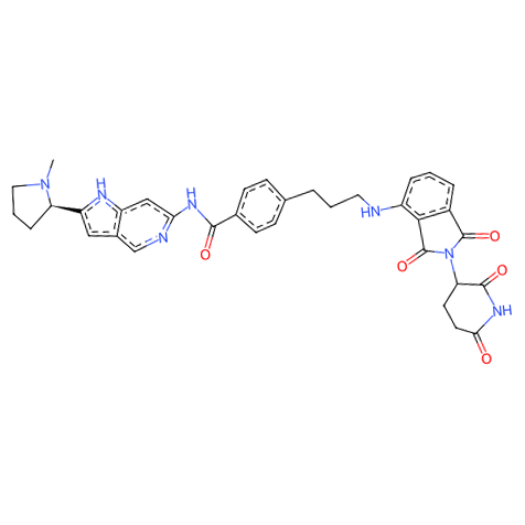 CN1CCC[C@@H]1c1cc2cnc(NC(=O)c3ccc(CCCNc4cccc5c4C(=O)N(C4CCC(=O)NC4=O)C5=O)cc3)cc2[nH]1